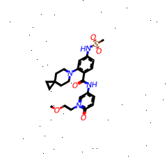 COCCn1cc(NC(=O)c2ccc(NS(C)(=O)=O)cc2N2CCC3(CC2)CC3)ccc1=O